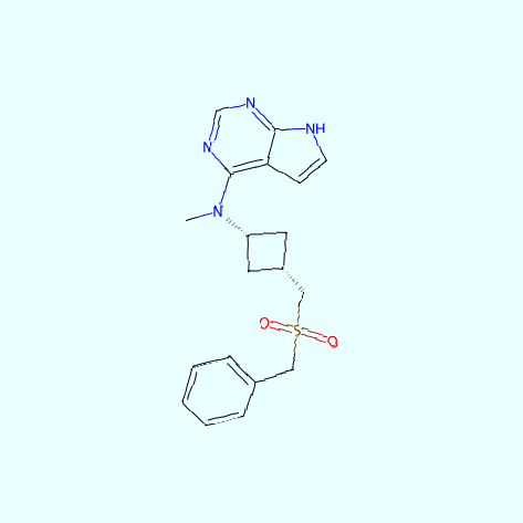 CN(c1ncnc2[nH]ccc12)[C@H]1C[C@@H](CS(=O)(=O)Cc2ccccc2)C1